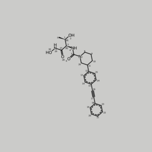 C[C@@H](O)[C@@H](NC(=O)N1CCCC(c2ccc(C#Cc3ccccc3)cc2)C1)C(=O)NO